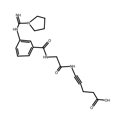 N=C(Nc1cccc(C(=O)NCC(=O)NC#CCCC(=O)O)c1)N1CCCC1